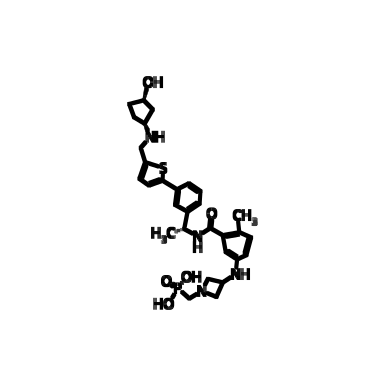 Cc1ccc(NC2CN(CP(=O)(O)O)C2)cc1C(=O)N[C@H](C)c1cccc(-c2ccc(CN[C@H]3CC[C@@H](O)C3)s2)c1